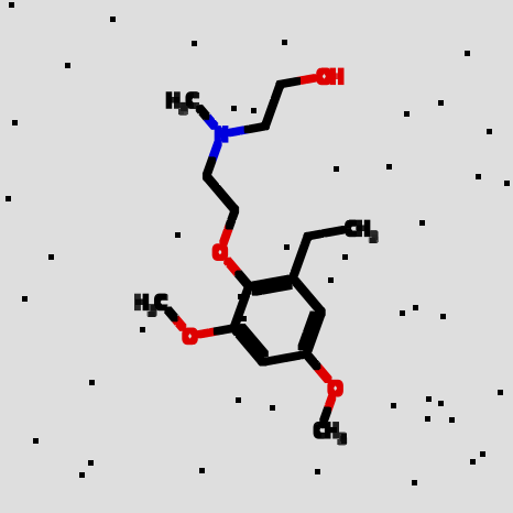 CCc1cc(OC)cc(OC)c1OCCN(C)CCO